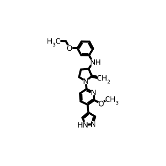 C=C1C(Nc2cccc(OCC)c2)CCN1c1ccc(-c2cn[nH]c2)c(OC)n1